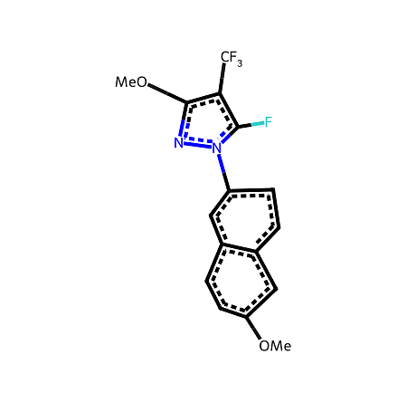 COc1ccc2cc(-n3nc(OC)c(C(F)(F)F)c3F)ccc2c1